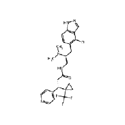 CN(C)[C@H](CNC(=O)C[C@@H](c1ccncc1)C1(C(F)(F)F)CC1)Cc1ccc2[nH]ncc2c1Cl